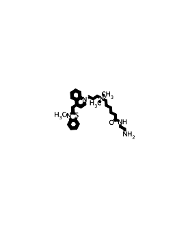 CN1/C(=C/c2cc[n+](CCC[N+](C)(C)CCCCCC(=O)NCCN)c3ccccc23)Sc2ccccc21